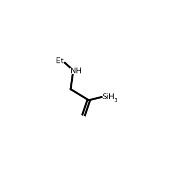 C=C([SiH3])CNCC